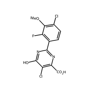 COc1c(Cl)ccc(-c2nc(O)c(Cl)c(C(=O)O)n2)c1F